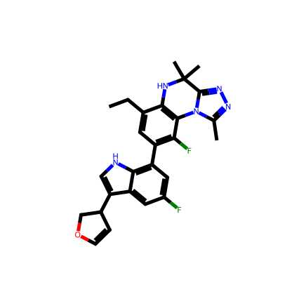 CCc1cc(-c2cc(F)cc3c(C4C=COC4)c[nH]c23)c(F)c2c1NC(C)(C)c1nnc(C)n1-2